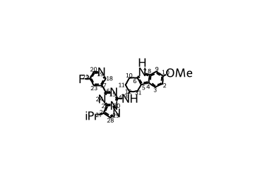 COc1ccc2c3c([nH]c2c1)CCC(Nc1nc(-c2cncc(F)c2)nc2c(C(C)C)cnn12)C3